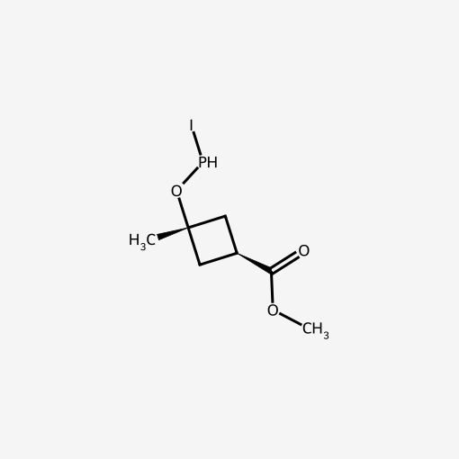 COC(=O)[C@H]1C[C@](C)(OPI)C1